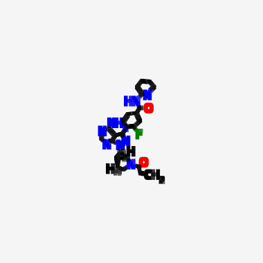 C=CC(=O)N1C[C@@H]2C[C@H]1[C@@H](n1nc(-c3ccc(C(=O)Nc4ccccn4)cc3F)c3c(N)ncnc31)C2